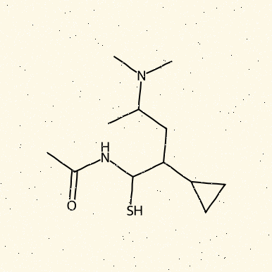 CC(=O)NC(S)C(CC(C)N(C)C)C1CC1